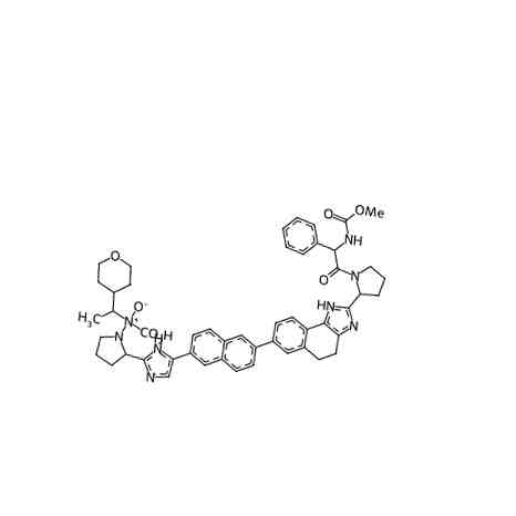 COC(=O)NC(C(=O)N1CCCC1c1nc2c([nH]1)-c1ccc(-c3ccc4cc(-c5cnc(C6CCCN6[N+]([O-])(C(=O)O)C(C)C6CCOCC6)[nH]5)ccc4c3)cc1CC2)c1ccccc1